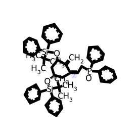 C=C1/C(=C\CP(=O)(c2ccccc2)c2ccccc2)C[C@@H](O[Si](c2ccccc2)(c2ccccc2)C(C)(C)C)C[C@H]1O[Si](c1ccccc1)(c1ccccc1)C(C)(C)C